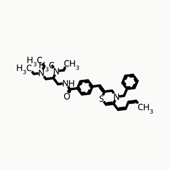 C/C=C\C=C/C1=CS/C(=C\c2ccc(C(=O)NCC(CN(CC)CC)N(C)CC)cc2)CN1Cc1ccccc1